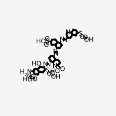 Nc1cc2c(O)c(/N=N/c3ccc(/N=N/c4ccc(/N=N/c5cnc6ccc(SOOO)cc6c5)c5ccc(S(=O)(=O)O)cc45)c4ccc(C(=O)O)nc34)c(SOOO)cc2cc1S(=O)(=O)O